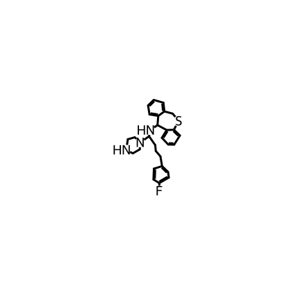 Fc1ccc(CCCC(NC2c3ccccc3CSc3ccccc32)N2CCNCC2)cc1